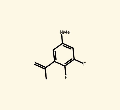 C=C(C)c1cc(NC)cc(F)c1F